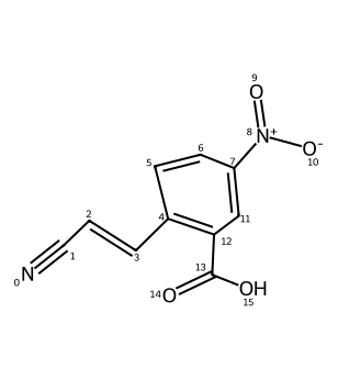 N#CC=Cc1ccc([N+](=O)[O-])cc1C(=O)O